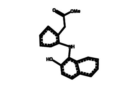 COC(=O)Cc1ccccc1Nc1c(O)ccc2ccccc12